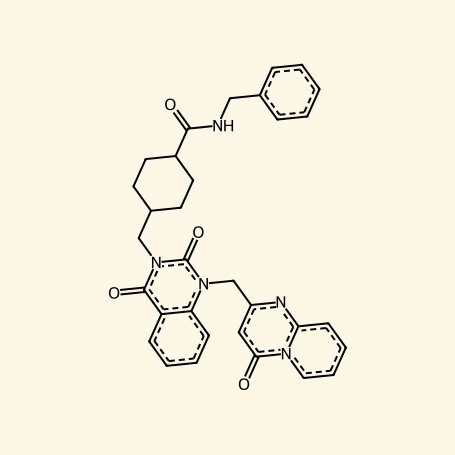 O=C(NCc1ccccc1)C1CCC(Cn2c(=O)c3ccccc3n(Cc3cc(=O)n4ccccc4n3)c2=O)CC1